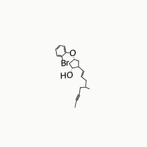 CC#CCC(C)C/C=C/C1C[C@@H](Oc2ccccc2Br)C[C@H]1O